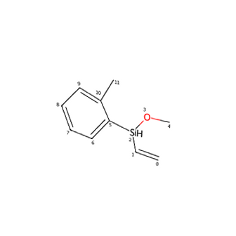 C=C[SiH](OC)c1ccccc1C